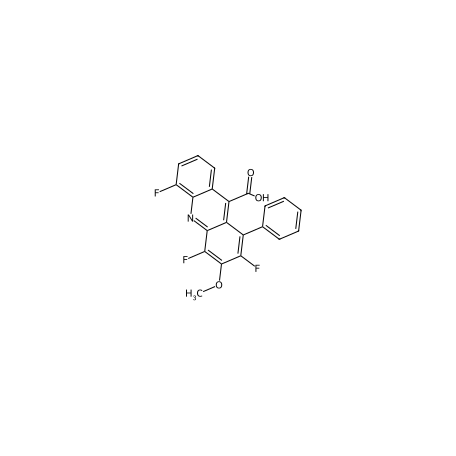 COc1c(F)c(-c2ccccc2)c2c(C(=O)O)c3cccc(F)c3nc2c1F